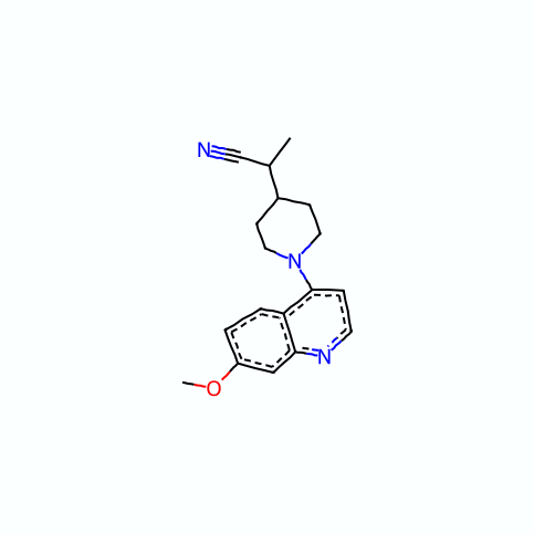 COc1ccc2c(N3CCC(C(C)C#N)CC3)ccnc2c1